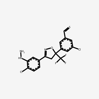 NNc1cc(C2=NOC(c3cc(Cl)cc(C=S)c3)(C(F)(F)F)C2)ccc1Cl